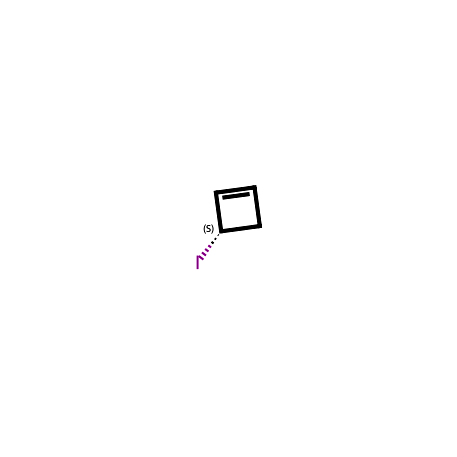 I[C@@H]1C=CC1